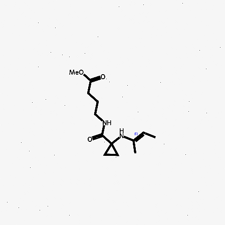 C/C=C(\C)NC1(C(=O)NCCCC(=O)OC)CC1